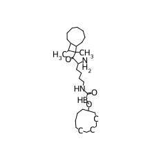 CC1C2CCCCCCCC2C1(C)C(=O)C(N)CCCCNC(=O)BOC1CCCCCCCCCC1